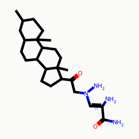 CC1CCC2(C)C(CCC3C2CCC2(C)C(C(=O)CN(N)/C=C(\N)C(N)=O)CCC32)C1